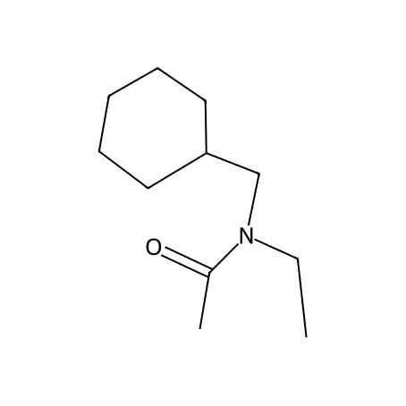 CCN(CC1CCCCC1)C(C)=O